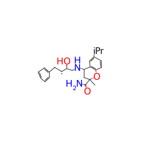 CC(C)c1ccc2c(c1)C(NC[C@H](O)[CH]Cc1ccccc1)CC(C)(C(N)=O)O2